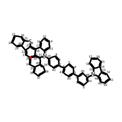 c1cc(-c2ccc(-c3ccc(N(c4ccccc4-c4cccc5c4sc4ccccc45)c4cccc5ccccc45)cc3)cc2)cc(-n2c3ccccc3c3ccccc32)c1